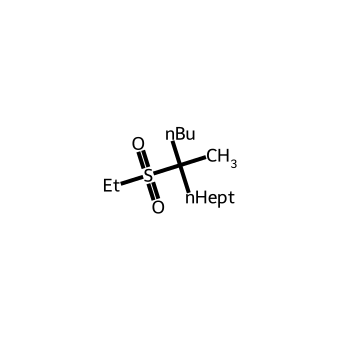 CCCCCCCC(C)(CCCC)S(=O)(=O)CC